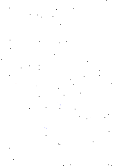 O=C(O)CCc1c(Cl)ccc2ncc(C(=O)O)n12